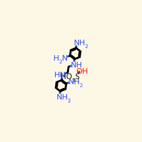 Nc1ccc(NCCNc2ccc(N)cc2N)c(N)c1.O=S(=O)(O)O